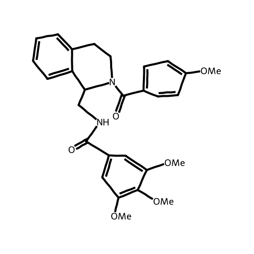 COc1ccc(C(=O)N2CCc3ccccc3C2CNC(=O)c2cc(OC)c(OC)c(OC)c2)cc1